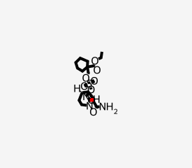 CCOC(=O)C1(COS(=O)(=O)ON2C(=O)N3CC[C@H]2CC[C@H]3C(N)=O)CCCCC1